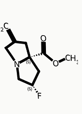 C=C1CN2C[C@@H](F)C[C@]2(C(=O)OC)C1